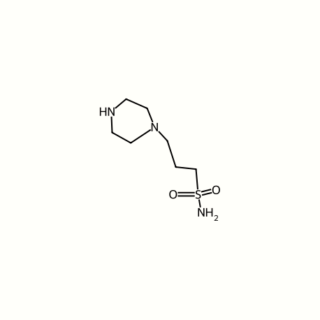 NS(=O)(=O)CCCN1CCNCC1